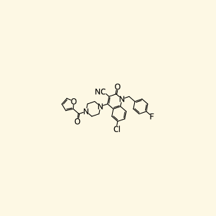 N#Cc1c(N2CCN(C(=O)c3ccco3)CC2)c2cc(Cl)ccc2n(Cc2ccc(F)cc2)c1=O